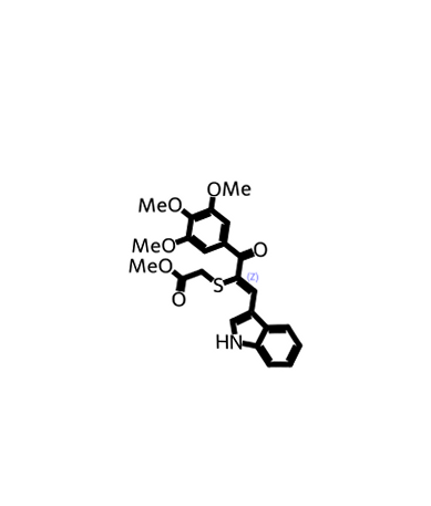 COC(=O)CS/C(=C\c1c[nH]c2ccccc12)C(=O)c1cc(OC)c(OC)c(OC)c1